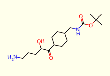 CC(C)(C)OC(=O)NCC1CCC(C(=O)C(O)CCCN)CC1